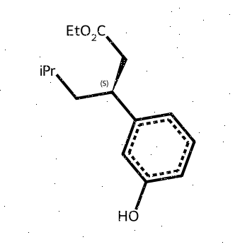 CCOC(=O)C[C@H](CC(C)C)c1cccc(O)c1